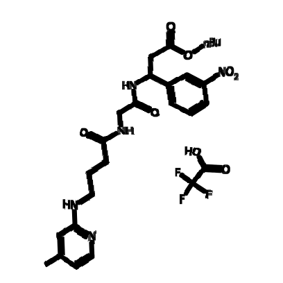 CCCCOC(=O)CC(NC(=O)CNC(=O)CCCNc1cc(C)ccn1)c1cccc([N+](=O)[O-])c1.O=C(O)C(F)(F)F